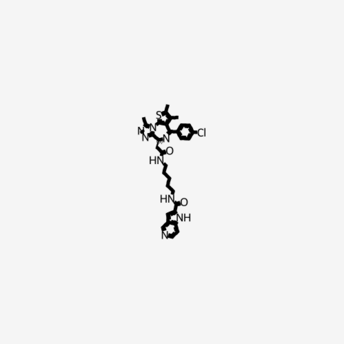 Cc1sc2c(c1C)C(c1ccc(Cl)cc1)=N[C@@H](CC(=O)NCCCCCNC(=O)c1cc3cnccc3[nH]1)c1nnc(C)n1-2